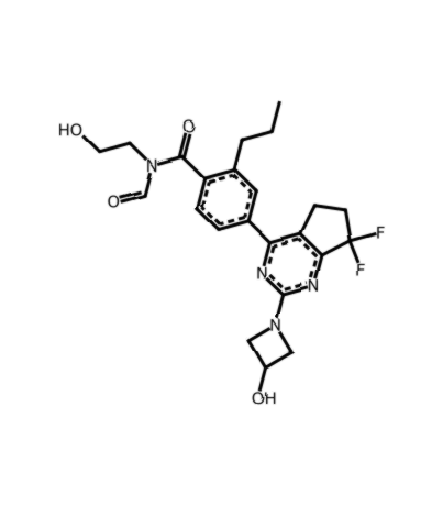 CCCc1cc(-c2nc(N3CC(O)C3)nc3c2CCC3(F)F)ccc1C(=O)N(C=O)CCO